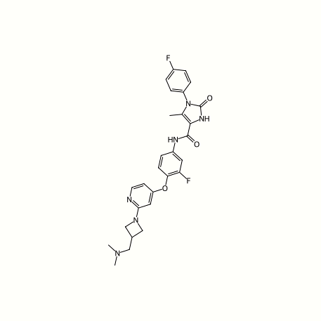 Cc1c(C(=O)Nc2ccc(Oc3ccnc(N4CC(CN(C)C)C4)c3)c(F)c2)[nH]c(=O)n1-c1ccc(F)cc1